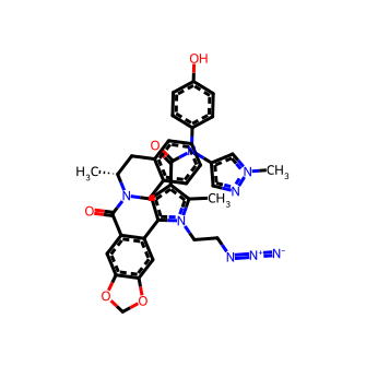 Cc1c(C(=O)N(c2ccc(O)cc2)c2cnn(C)c2)cc(-c2cc3c(cc2C(=O)N2Cc4ccccc4C[C@H]2C)OCO3)n1CCN=[N+]=[N-]